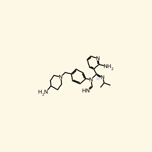 CC(C)/N=C(/c1cccnc1N)N(C=N)c1ccc(CN2CCC(N)CC2)cc1